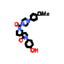 COc1ccc(N2CCN(C(=O)N3CCCC4(CCN(C5CCC(O)CC5)C4=O)C3)CC2)cc1